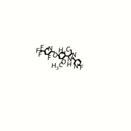 CCc1nc(-c2ccc(F)nc2)[nH]c1-c1ccc(OCc2ncc(C(F)(F)F)cc2F)cc1OC